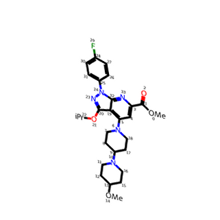 COC(=O)c1cc(N2CCC(N3CCC(OC)CC3)CC2)c2c(OC(C)C)nn(-c3ccc(F)cc3)c2n1